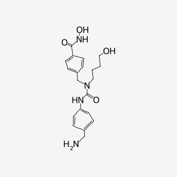 NCc1ccc(NC(=O)N(CCCCO)Cc2ccc(C(=O)NO)cc2)cc1